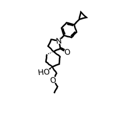 CCOC[C@]1(O)CC[C@@]2(CCN(c3ccc(C4CC4)cc3)C2=O)CC1